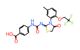 Cc1ccc(OCC(F)(F)F)c(N2C(=O)CSC2=NC(=O)Nc2ccc(C(=O)O)cc2)c1